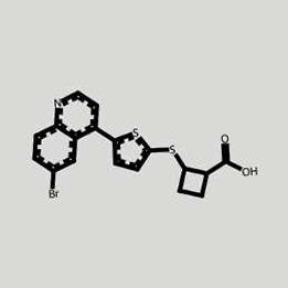 O=C(O)C1CCC1Sc1ccc(-c2ccnc3ccc(Br)cc23)s1